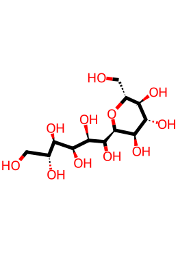 OC[C@@H](O)[C@@H](O)[C@H](O)[C@@H](O)C(O)[C@H]1O[C@H](CO)[C@@H](O)[C@H](O)[C@H]1O